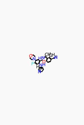 Cc1c(C#N)cccc1[C@@H](C)NC(=O)c1cc(N2CCOCC2)c(F)cc1N[C@H]1CN2CCC1CC2